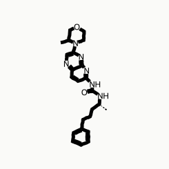 CC1COCCN1c1cnc2ccc(NC(=O)N[C@H](C)CCCc3ccccc3)nc2n1